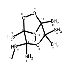 BC1(B)OC(B)(BC)C2(B)OOC1(B)N2C